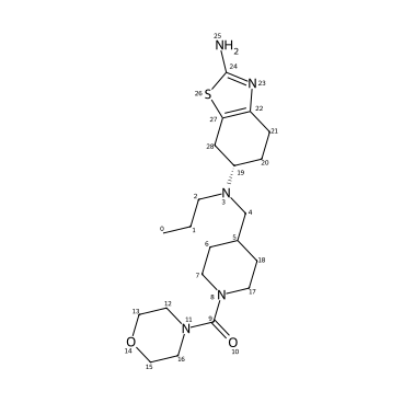 CCCN(CC1CCN(C(=O)N2CCOCC2)CC1)[C@H]1CCc2nc(N)sc2C1